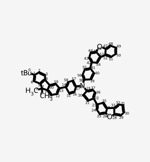 CC(C)(C)c1ccc2c(c1)C(C)(C)c1ccc(-c3ccc(N(c4ccc(-c5ccc6oc7ccccc7c6c5)cc4)c4ccc(-c5ccc6oc7ccccc7c6c5)cc4)cc3)cc1-2